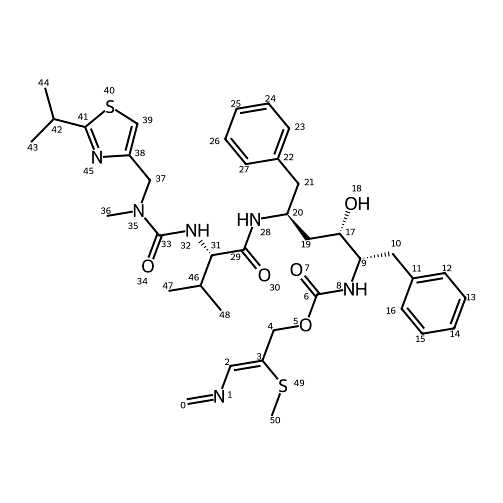 C=N/C=C(/COC(=O)N[C@@H](Cc1ccccc1)[C@@H](O)C[C@H](Cc1ccccc1)NC(=O)[C@@H](NC(=O)N(C)Cc1csc(C(C)C)n1)C(C)C)SC